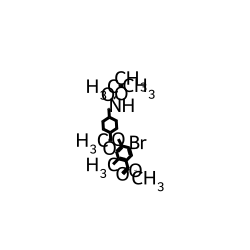 COC(=O)c1cc(Br)c2c(c1C)OC(C)(C1CCC(CNC(=O)OC(C)(C)C)CC1)O2